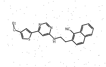 CCOc1csc(-c2cc(NCCc3ccc4ccccc4c3C#N)ncn2)c1